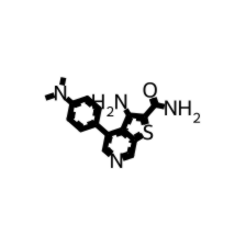 CN(C)c1ccc(-c2cncc3sc(C(N)=O)c(N)c23)cc1